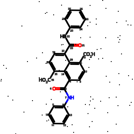 O=C(O)c1ccc(C(=O)Nc2ccccc2)c2c(C(=O)O)ccc(C(=O)Bc3ccccc3)c12